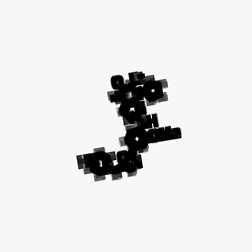 CCC1C(=O)N(C)c2cnc(Nc3ccc(-c4ncc(CN5CCNCC5)o4)cc3OC)nc2N1C1CCCC1